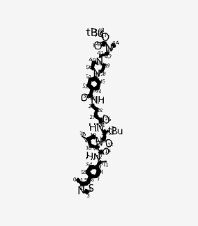 Cc1ncsc1-c1ccc([C@H](C)NC(=O)[C@@H]2C[C@@H](C)CN2C(=O)[C@@H](NC(=O)CCCNC(=O)c2ccc(N3CCN(CCN(C)C(=O)OC(C)(C)C)CC3)cc2)C(C)(C)C)cc1